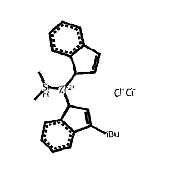 CCC(C)C1=C[CH]([Zr+2]([CH]2C=Cc3ccccc32)[SiH](C)C)c2ccccc21.[Cl-].[Cl-]